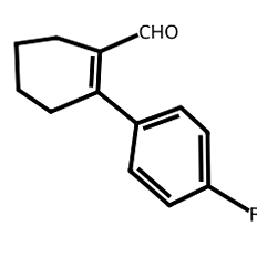 O=CC1=C(c2ccc(F)cc2)CCCC1